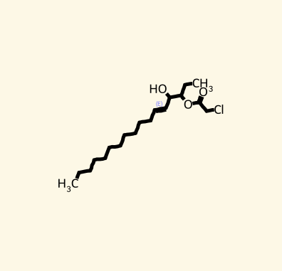 CCCCCCCCCCC/C=C/C(O)C(CC)OC(=O)CCl